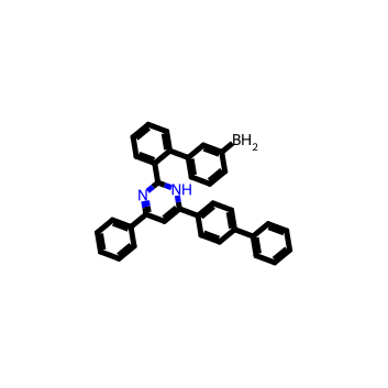 Bc1cccc(-c2ccccc2C2N=C(c3ccccc3)C=C(c3ccc(-c4ccccc4)cc3)N2)c1